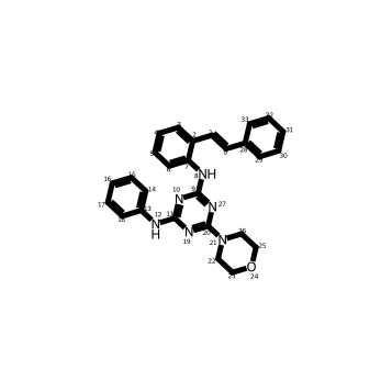 C(=Cc1ccccc1Nc1nc(Nc2ccccc2)nc(N2CCOCC2)n1)c1ccccc1